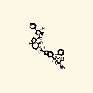 CCCOC(=O)[C@H](C)NP(=O)(Oc1ccccc1)[C@H](F)c1ccc2sc(C(=O)N[C@H]3CCC[C@H]4CC[C@@H](C(=O)N5C[C@@H](c6cccnc6)[C@H](C#N)C56CC6)N4C3=O)cc2c1